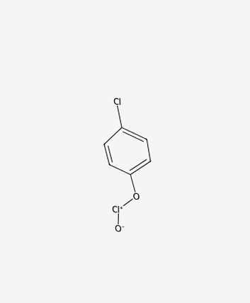 [O-][Cl+]Oc1ccc(Cl)cc1